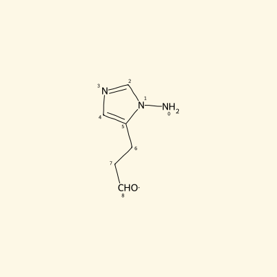 Nn1cncc1CC[C]=O